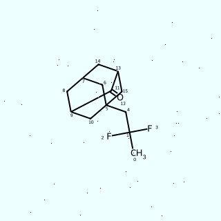 CC(F)(F)CC12CC3CC(C1)C(=O)C(C3)C2